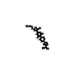 CCC(CC)c1nnn(C2CCN(c3c(F)cc(N4C[C@H](CNC(C)=O)OC4=O)cc3F)CC2)n1